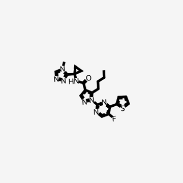 CCCCc1c(C(=O)NC2(c3nncn3C)CC2)cnn1-c1ncc(F)c(-c2cccs2)n1